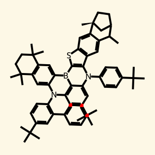 CC1c2cc3c4c(sc3cc2[C@]2(C)CCC1C2)B1c2cc3c(cc2N(c2ccc(C(C)(C)C)cc2-c2ccccc2)c2cc(C(C)(C)C)cc(c21)N4c1ccc(C(C)(C)C)cc1)C(C)(C)CCC3(C)C